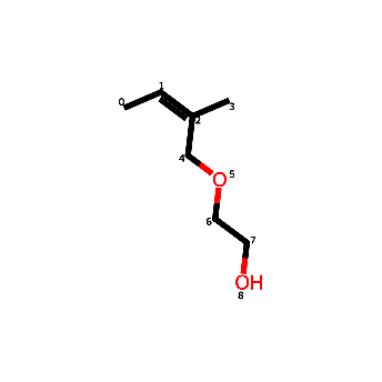 CC=C(C)COCCO